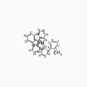 Cc1ccccc1-c1ccccc1C[PH](c1ccccc1)(c1ccccc1)c1ccccc1